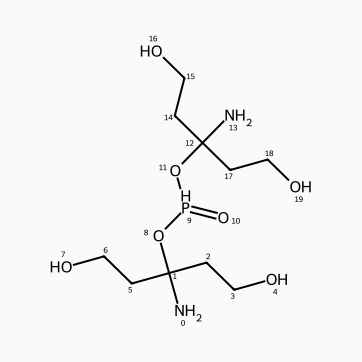 NC(CCO)(CCO)O[PH](=O)OC(N)(CCO)CCO